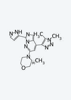 Cc1c(-c2cc(N3CCOC[C@H]3C)nn3c(-c4ccn[nH]4)ncc23)nnn1C